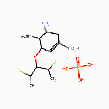 CC(=O)NC1C(N)CC(C(=O)O)=CC1OC(C(F)C(F)(F)F)C(F)C(F)(F)F.O=P(O)(O)O